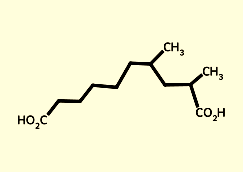 CC(CCCCCC(=O)O)CC(C)C(=O)O